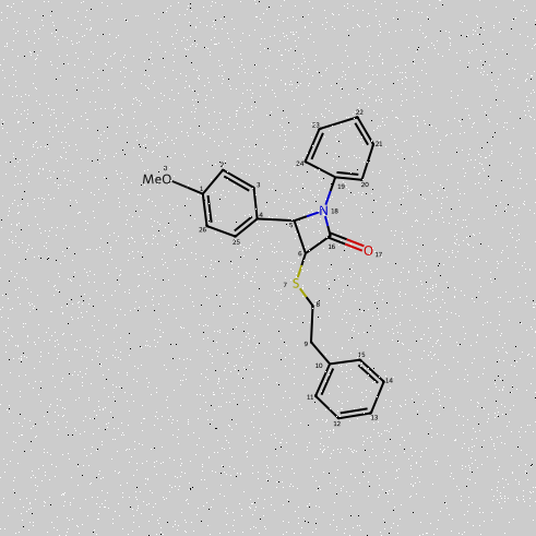 COc1ccc(C2C(SCCc3ccccc3)C(=O)N2c2ccccc2)cc1